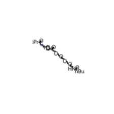 CCCCC(=O)NCCOCCOCCOCCOCCC(=O)N1CCN(C/C=C/C(=O)C(C)C)CC1